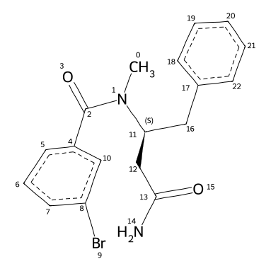 CN(C(=O)c1cccc(Br)c1)[C@H](CC(N)=O)Cc1ccccc1